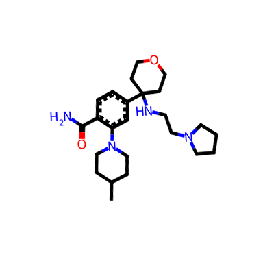 CC1CCN(c2cc(C3(NCCN4CCCC4)CCOCC3)ccc2C(N)=O)CC1